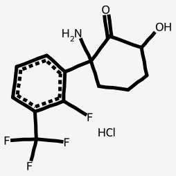 Cl.NC1(c2cccc(C(F)(F)F)c2F)CCCC(O)C1=O